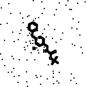 CC(C)(C)OC(=O)NCc1cc[n+](Cc2ccccc2)cc1.[Br-]